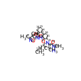 CCCCCC(=O)N(Cc1ccc(-c2ccccc2S(=O)(=O)Nc2onc(C)c2C)cc1)[C@H](C(=O)NC)C(C)C